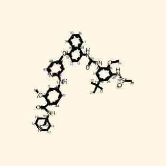 COc1cc(Nc2cc(Oc3ccc(NC(=O)Nc4cc(C(C)(C)C)cc(N[S+](C)[O-])c4OC)c4ccccc34)ccn2)ccc1C(=O)NC12CCN(CC1)CC2